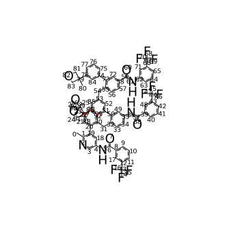 Cc1ncc(NC(=O)c2cccc(C(F)(F)F)c2)cc1-c1cc(C2(C)COC2)ccc1Cc1ccc(NC(=O)c2cccc(C(F)(F)F)c2)cc1-c1cc(Cc2ccc(C(=O)Nc3cccc(C(F)(F)F)c3)cc2-c2cccc(C3(C)COC3)c2)cc(C2(C)COC2)c1